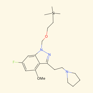 COc1cc(F)cc2c1c(CCN1CCCC1)nn2COCC[Si](C)(C)C